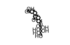 CC1(C(=O)O)CCC2(C)CCC3(C)C(=CC(=O)C4C5(C)CCC(OC(=O)C(O)C(O)C(O)C(O)CO)C(C)(C)C5CCC43C)C2C1